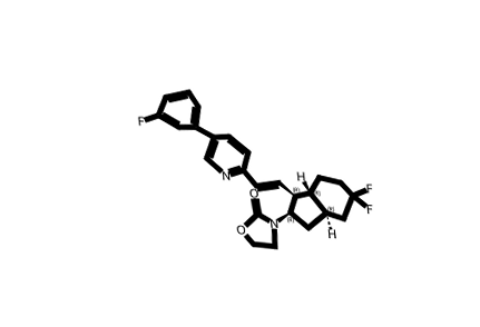 O=C1OCCN1[C@@H]1C[C@@H]2CC(F)(F)CC[C@H]2[C@@H]1C=Cc1ccc(-c2cccc(F)c2)cn1